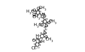 COc1cc(C2NC(=O)c3cc(Cl)ccc3N2)ccc1OCCCOc1c(OC)cc(C2CC(c3cc(OC)c(OC)c(OC)c3)=NO2)cc1OC